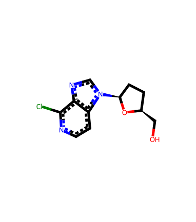 OC[C@@H]1CC[C@H](n2cnc3c(Cl)nccc32)O1